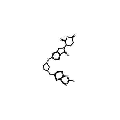 Cc1ncc2cc(CN3CC[C@H](Oc4ccc5c(c4)CN(C4CCC(=O)NC4=O)C5=O)C3)ccc2n1